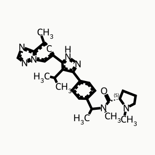 Cc1cc(-c2[nH]nc(-c3ccc(C(C)N(C)C(=O)[C@@H]4CCCN4C)cc3)c2C(C)C)cn2ncnc12